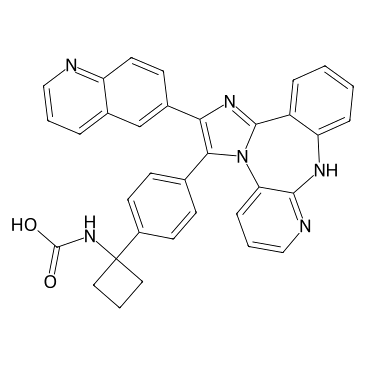 O=C(O)NC1(c2ccc(-c3c(-c4ccc5ncccc5c4)nc4n3-c3cccnc3Nc3ccccc3-4)cc2)CCC1